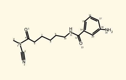 CN(C#N)C(=O)CCCCCNC(=O)c1cccc(N)c1